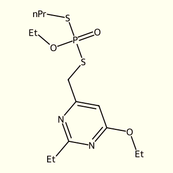 CCCSP(=O)(OCC)SCc1cc(OCC)nc(CC)n1